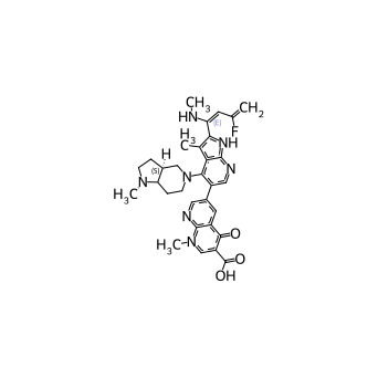 C=C(F)/C=C(/NC)c1[nH]c2ncc(-c3cnc4c(c3)c(=O)c(C(=O)O)cn4C)c(N3CCC4[C@@H](CCN4C)C3)c2c1C